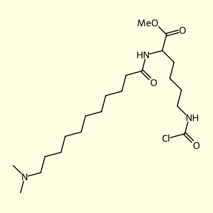 COC(=O)C(CCCCNC(=O)Cl)NC(=O)CCCCCCCCCCN(C)C